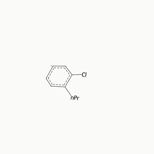 CCCc1cc[c]cc1Cl